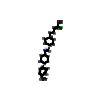 CCCc1ccc([C@H]2CC[C@H](/C=C/[C@H]3CC[C@H](CCC=C(F)C#N)CC3)CC2)cc1